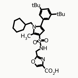 Cc1c(S(=O)(=O)NCc2nc(C(=O)O)co2)cc(-c2cc(C(C)(C)C)cc(C(C)(C)C)c2)n1CC1CCCCC1